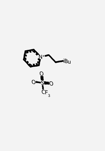 CCC(C)CC[n+]1ccccc1.O=S(=O)([O-])C(F)(F)F